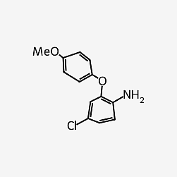 COc1ccc(Oc2cc(Cl)ccc2N)cc1